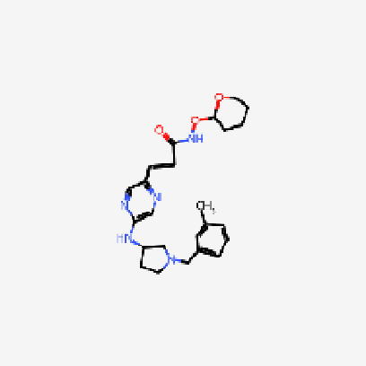 Cc1cccc(CN2CC[C@@H](Nc3cnc(C=CC(=O)NOC4CCCCO4)cn3)C2)c1